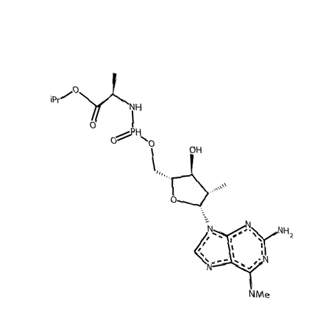 CNc1nc(N)nc2c1ncn2[C@@H]1O[C@H](CO[PH](=O)N[C@H](C)C(=O)OC(C)C)[C@@H](O)[C@@H]1C